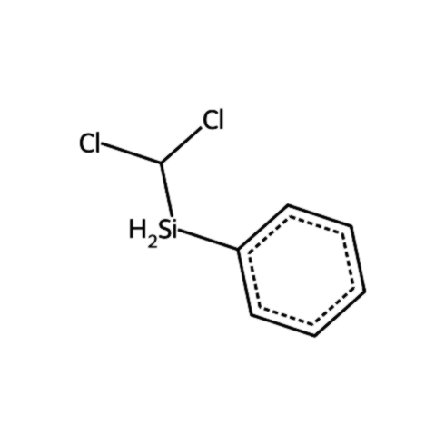 ClC(Cl)[SiH2]c1ccccc1